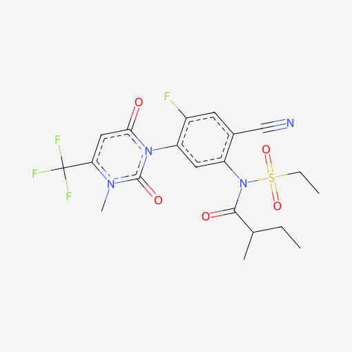 CCC(C)C(=O)N(c1cc(-n2c(=O)cc(C(F)(F)F)n(C)c2=O)c(F)cc1C#N)S(=O)(=O)CC